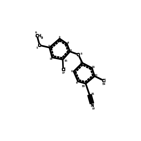 COc1ccc(Oc2ccc(C#N)c(Cl)c2)c(Cl)c1